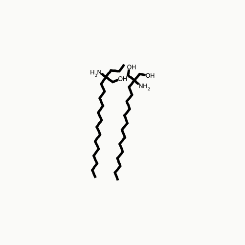 CCCCCCCCCCCCCCC(N)(CO)CCC.CCCCCCCCCCCCCCC(N)(CO)CO